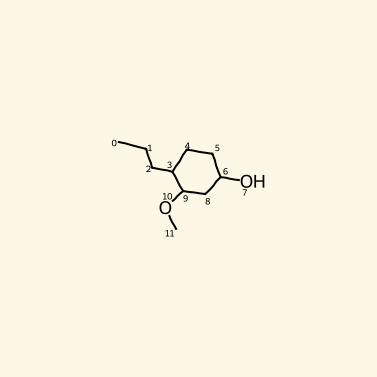 CCCC1CCC(O)CC1OC